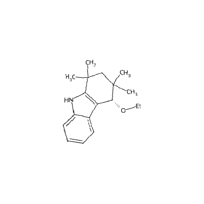 CCO[C@@H]1c2c([nH]c3ccccc23)C(C)(C)CC1(C)C